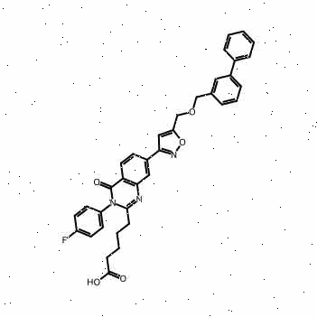 O=C(O)CCCCc1nc2cc(-c3cc(COCc4cccc(-c5ccccc5)c4)on3)ccc2c(=O)n1-c1ccc(F)cc1